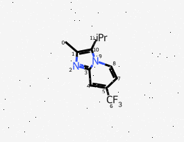 Cc1nc2cc(C(F)(F)F)ccn2c1C(C)C